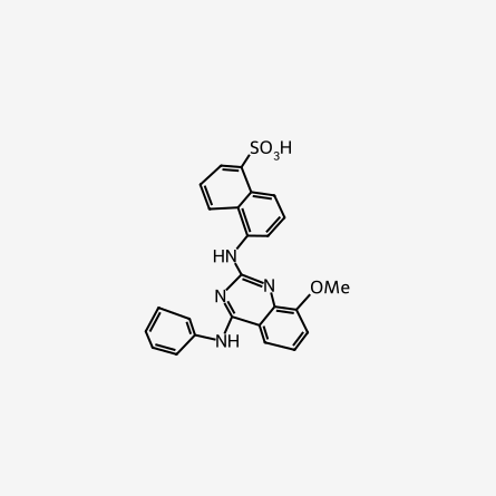 COc1cccc2c(Nc3ccccc3)nc(Nc3cccc4c(S(=O)(=O)O)cccc34)nc12